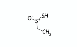 CC[S+]([O-])S